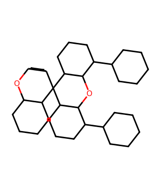 C1CCC(C2CCCC3C2OC2C(C4CCCCC4)CCCC2C32C3CCCCC3OC3CCCCC32)CC1